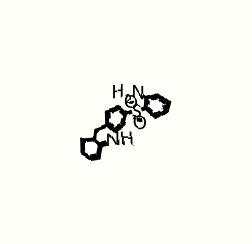 N=C1C=CC=CC1Cc1ccc(S(=O)(=O)c2ccccc2N)cc1